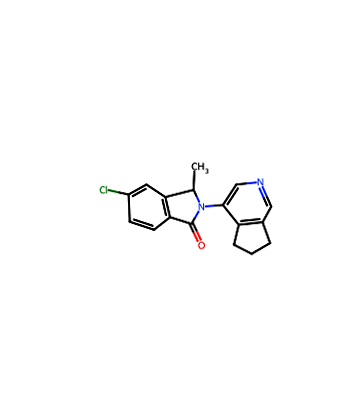 CC1c2cc(Cl)ccc2C(=O)N1c1cncc2c1CCC2